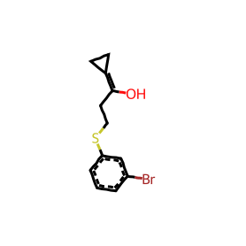 OC(CCSc1cccc(Br)c1)=C1CC1